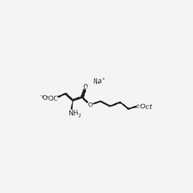 CCCCCCCCCCCCOC(=O)[C@@H](N)CC(=O)[O-].[Na+]